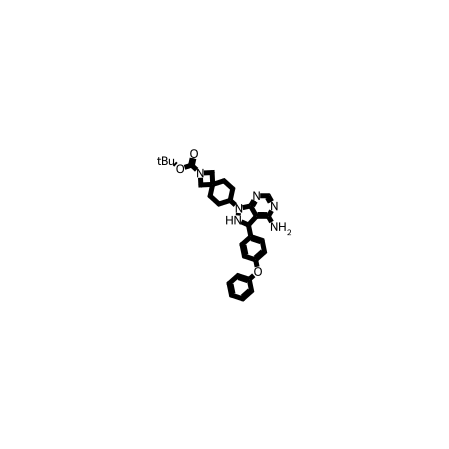 CC(C)(C)OC(=O)N1CC2(CCC(N3NC(c4ccc(Oc5ccccc5)cc4)c4c(N)ncnc43)CC2)C1